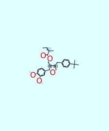 C/C=C(/C)C(=O)OC[C@@H]1C(c2ccc(OC)c(OC)c2)OC[C@@H]1Cc1ccc(C(C)(C)C)cc1